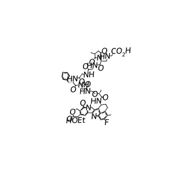 CC[C@@]1(O)C(=O)OCc2c1cc1n(c2=O)Cc2c-1nc1cc(F)c(C)c3c1c2[C@H](NC(=O)[C@H](C)OCNC(=O)CNC(=O)[C@H](Cc1ccccc1)NC(=O)CNC(=O)CNC(=O)C(CNCC(=O)O)N1C(=O)CC(C)C1=O)CC3